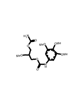 COc1cc(NC(=O)OCC(COC(N)=O)OC)cc(OC)c1OC